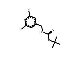 CC(C)(C)OC(=O)NCc1cc(F)cc(Cl)c1